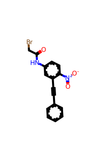 O=C(CBr)Nc1ccc([N+](=O)[O-])c(C#Cc2ccccc2)c1